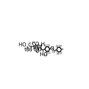 CC(C)(C)C(C(=O)O)[C@@](NC(=O)/C=C/c1ccc(OCc2ccccc2)cc1O)(C(=O)O)C(C)(C)C